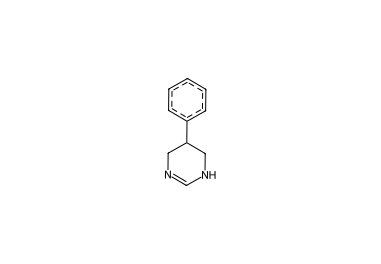 C1=NCC(c2ccccc2)CN1